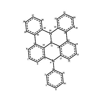 c1ccc(N2c3cccc4c3B3c5c(cccc52)-c2ncccc2N3c2ccccc2-4)cc1